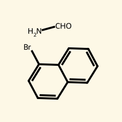 Brc1cccc2ccccc12.NC=O